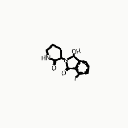 O=C1NCCCC1N1C(=O)c2c(I)cccc2C1O